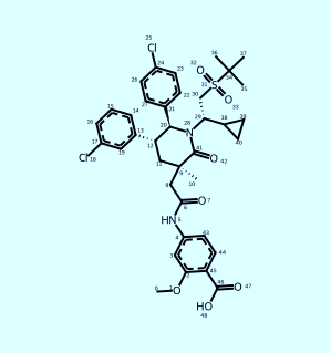 COc1cc(NC(=O)C[C@@]2(C)C[C@H](c3cccc(Cl)c3)[C@@H](c3ccc(Cl)cc3)N([C@H](CS(=O)(=O)C(C)(C)C)C3CC3)C2=O)ccc1C(=O)O